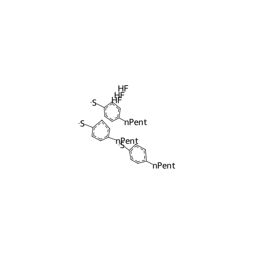 CCCCCc1ccc([S])cc1.CCCCCc1ccc([S])cc1.CCCCCc1ccc([S])cc1.F.F.F